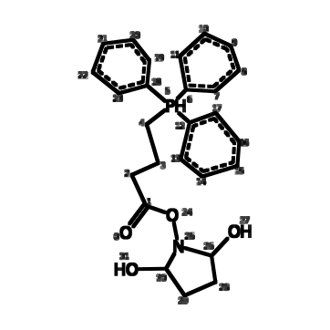 O=C(CCC[PH](c1ccccc1)(c1ccccc1)c1ccccc1)ON1C(O)CCC1O